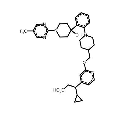 O=C(O)CC(c1ccnc(OCC2CCN(c3ccccc3C3(O)CCN(c4ncc(C(F)(F)F)cn4)CC3)CC2)c1)C1CC1